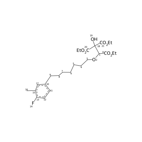 CCOC(=O)C(OCCCCCCCc1ccc(F)c(C)c1)C(O)(C(=O)OCC)C(=O)OCC